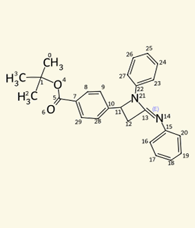 CC(C)(C)OC(=O)c1ccc(C2C/C(=N\c3ccccc3)N2c2ccccc2)cc1